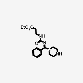 CCOC(=O)CCNC(=O)/N=C(\c1ccccc1)N1CCNCC1